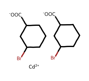 O=C([O-])C1CCCC(Br)C1.O=C([O-])C1CCCC(Br)C1.[Cd+2]